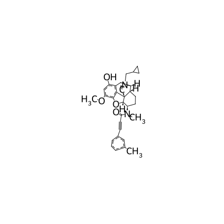 COc1cc(O)c2c3c1O[C@H]1[C@H](N(C)C(=O)C#Cc4cccc(C)c4)CC[C@H]4[C@@H](C2)N(CC2CC2)CC[C@@]341